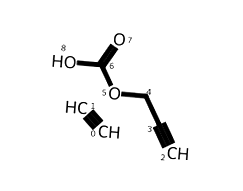 C#C.C#CCOC(=O)O